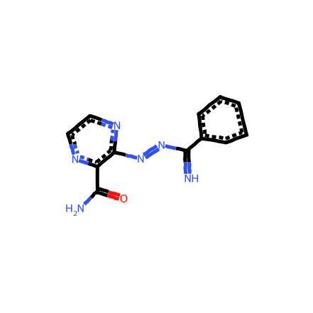 N=C(N=Nc1nccnc1C(N)=O)c1ccccc1